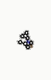 c1ccc(-c2cccc(N(c3ccc4c5ccccc5c5ccccc5c4c3)c3cccc4sc5ccccc5c34)c2)cc1